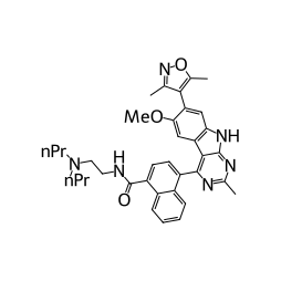 CCCN(CCC)CCNC(=O)c1ccc(-c2nc(C)nc3[nH]c4cc(-c5c(C)noc5C)c(OC)cc4c23)c2ccccc12